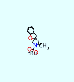 C[C@H]1C[C@]2(Cc3ccccc3O2)CN1C(=O)OC(C)(C)C